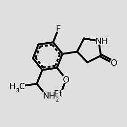 CCOc1c(C(C)N)ccc(F)c1C1CNC(=O)C1